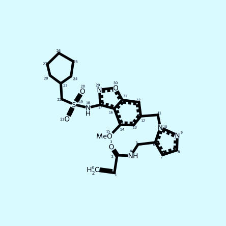 C=CC(=O)NCc1ccnn1Cc1cc(OC)c2c(NS(=O)(=O)CC3CCCCC3)noc2c1